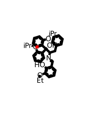 CCOc1cccc(C=NC(Cc2ccccc2)C(O)(c2ccccc2OC(C)C)c2ccccc2OC(C)C)c1O